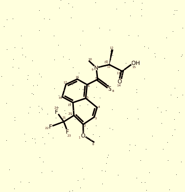 COc1ccc2c(C(=S)N(C)[C@@H](C)C(=O)O)cccc2c1C(F)(F)F